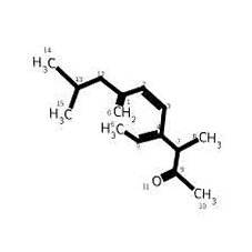 C=C(/C=C\C(=C/C)C(C)C(C)=O)CC(C)C